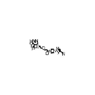 N#Cc1cnc(N2CCN(C(=O)CCOCCOc3cn[nH]c(=O)c3C(F)(F)F)CC2)s1